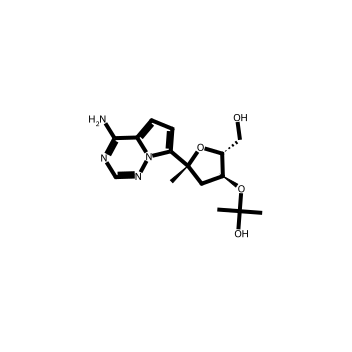 CC(C)(O)O[C@H]1C[C@](C)(c2ccc3c(N)ncnn23)O[C@@H]1CO